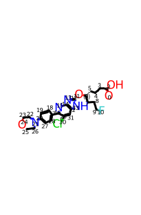 O=C(O)CCC[C@H](CCCF)Oc1nc2nc(-c3ccc(N4CCOCC4)cc3)c(Cl)cc2[nH]1